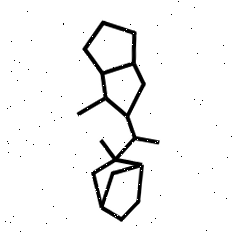 CC1C2CCCC2CC1C(C)C1(C)CC2CCC1C2